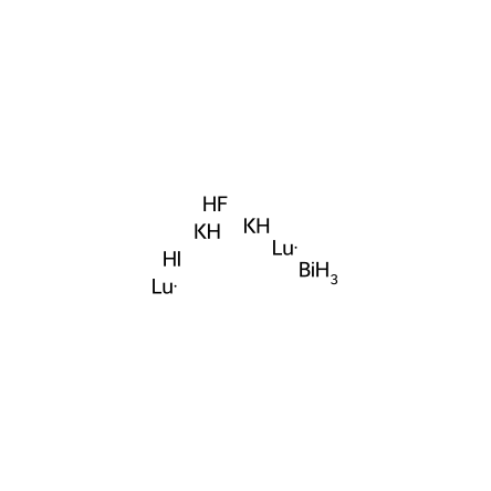 F.I.[BiH3].[KH].[KH].[Lu].[Lu]